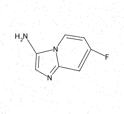 Nc1cnc2cc(F)ccn12